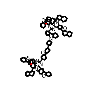 c1ccc2cc3c(cc2c1)c1c2ccccc2ccc1n3-c1cc2oc3ccccc3c2cc1-c1nc(-c2ccc3c(c2)oc2cc(-c4ccc(-n5c6ccccc6c6c(-c7nc(-c8cc9c(cc8-n8c%10cc%11ccccc%11cc%10c%10ccc%11ccccc%11c%108)oc8c%10ccccc%10ccc98)nc(-c8cccc9oc%10ccccc%10c89)n7)cccc65)cc4)ccc23)nc(-c2ccc3c(c2)sc2ccccc23)n1